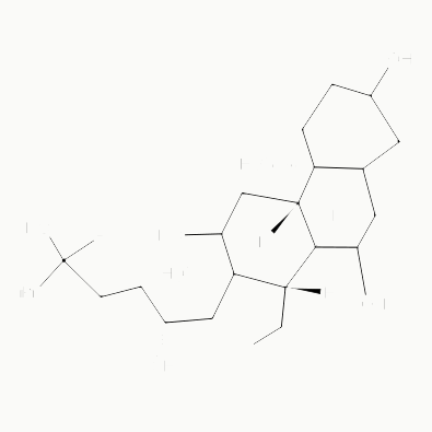 CCC(O)(CC[C@@H](C)[C@H]1CC[C@H]2[C@@H]3C(O)CC4CC(O)CC[C@]4(C)[C@H]3CC(O)[C@]12C)C(C)C